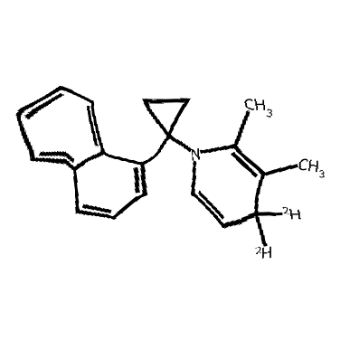 [2H]C1([2H])C=CN(C2(c3cccc4ccccc34)CC2)C(C)=C1C